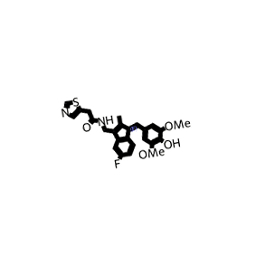 COc1cc(/C=C2/C(C)=C(CNC(=O)Cc3cncs3)c3cc(F)ccc32)cc(OC)c1O